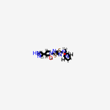 CCCN1[C@@H]2CC[C@H]1C[C@H](N(C)c1nc3sc(-n4ccc(-c5cn[nH]c5)cc4=O)nc3s1)C2